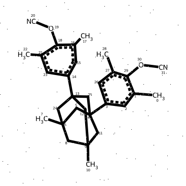 Cc1cc(C23CC4(C)CC(C)(C2)CC(c2cc(C)c(OC#N)c(C)c2)(C4)C3)cc(C)c1OC#N